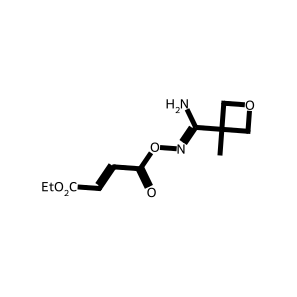 CCOC(=O)/C=C/C(=O)O/N=C(\N)C1(C)COC1